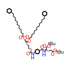 CC(C)(C)OC(=O)CC[C@H](NC(=O)c1ccc(NC(=O)SCCC[C@H](COC(=O)CCCCCCCCCCCc2ccccc2)OC(=O)CCCCCCCCCCCc2ccccc2)cc1)C(=O)OC(C)(C)C